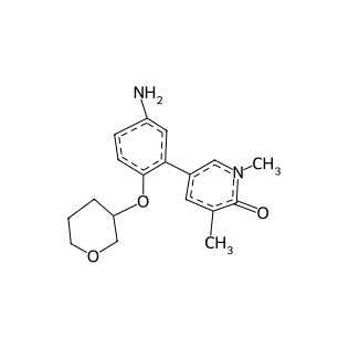 Cc1cc(-c2cc(N)ccc2OC2CCCOC2)cn(C)c1=O